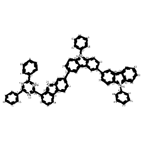 c1ccc(-c2nc(-c3ccccc3)nc(-c3cccc4c3sc3cc(-c5ccc6c(c5)c5cc(-c7ccc8c(c7)c7ccccc7n8-c7ccccc7)ccc5n6-c5ccccc5)ccc34)n2)cc1